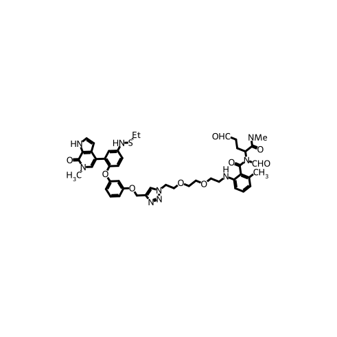 CCSNc1ccc(Oc2cccc(OCc3cn(CCOCCOCCNc4cccc(C)c4C(=O)N(C=O)C(CCC=O)C(=O)NC)nn3)c2)c(-c2cn(C)c(=O)c3[nH]ccc23)c1